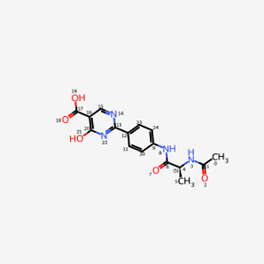 CC(=O)N[C@@H](C)C(=O)Nc1ccc(-c2ncc(C(=O)O)c(O)n2)cc1